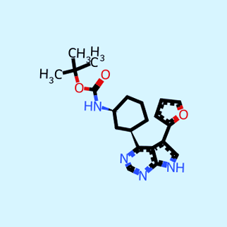 CC(C)(C)OC(=O)N[C@H]1CCC[C@@H](c2ncnc3[nH]cc(-c4ccco4)c23)C1